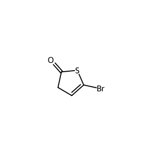 O=C1CC=C(Br)S1